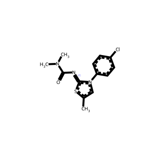 Cc1cn(-c2ccc(Cl)cc2)/c(=N/C(=O)N(C)C)s1